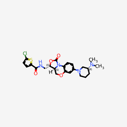 CN(C)[C@@H]1CCCN(c2ccc3c(c2)OC[C@H]2[C@H](CNC(=O)c4ccc(Cl)s4)OC(=O)N32)C1